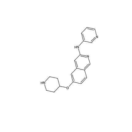 c1cncc(Nc2cc3cc(OC4CCNCC4)ccc3cn2)c1